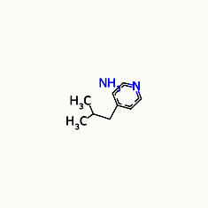 CC(C)Cc1ccncc1.N